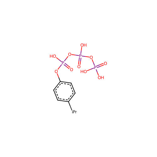 CC(C)c1ccc(OP(=O)(O)OP(=O)(O)OP(=O)(O)O)cc1